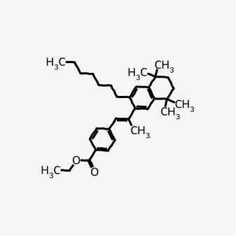 CCCCCCCc1cc2c(cc1C(C)=Cc1ccc(C(=O)OCC)cc1)C(C)(C)CCC2(C)C